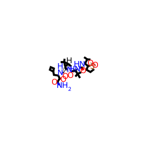 CC(C)C(NC(=O)N[C@H](C(=O)N1C[C@H]2C([C@H]1C(=O)NC(CC1CCC1)C(=O)C(N)=O)C2(C)C)C(C)(C)C)C1CCCS1(=O)=O